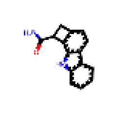 NC(=O)C1Cc2ccc3c([nH]c4ccccc43)c21